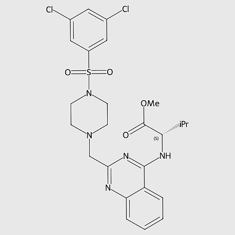 COC(=O)[C@@H](Nc1nc(CN2CCN(S(=O)(=O)c3cc(Cl)cc(Cl)c3)CC2)nc2ccccc12)C(C)C